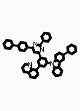 c1ccc(-c2ccc(-c3cc(-c4cc(-c5cccc6cccnc56)cc(-n5c6ccccc6c6cc(-c7ccccc7)ccc65)c4)nc(-c4ccccc4)n3)cc2)cc1